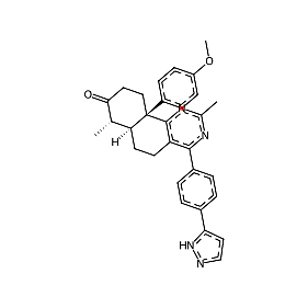 COc1ccc([C@]23CCC(=O)[C@@H](C)[C@@H]2CCc2c(-c4ccc(-c5ccn[nH]5)cc4)nc(C)nc23)cc1